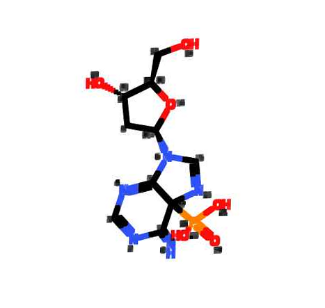 N=C1N=CN=C2N([C@H]3C[C@H](O)[C@@H](CO)O3)C=NC12P(=O)(O)O